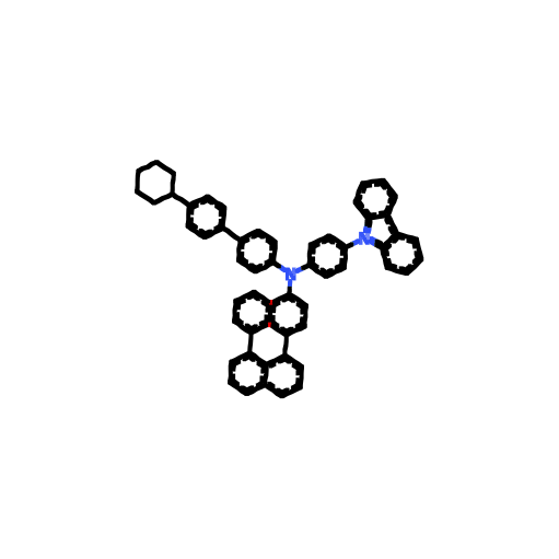 c1ccc(-c2cccc3cccc(-c4ccc(N(c5ccc(-c6ccc(C7CCCCC7)cc6)cc5)c5ccc(-n6c7ccccc7c7ccccc76)cc5)cc4)c23)cc1